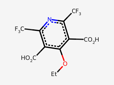 CCOc1c(C(=O)O)c(C(F)(F)F)nc(C(F)(F)F)c1C(=O)O